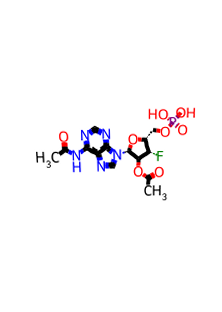 CC(=O)Nc1ncnc2c1ncn2[C@@H]1O[C@H](COP(=O)(O)O)[C@H](F)C1OC(C)=O